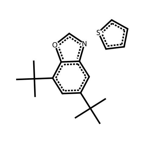 CC(C)(C)c1cc(C(C)(C)C)c2ocnc2c1.c1ccsc1